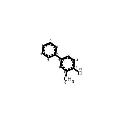 Cc1cc(-c2ccccc2)c[c]c1Cl